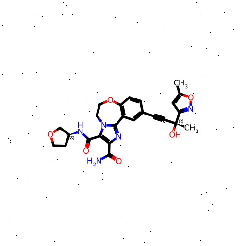 Cc1cc([C@](C)(O)C#Cc2ccc3c(c2)-c2nc(C(N)=O)c(C(=O)N[C@H]4CCOC4)n2CCO3)no1